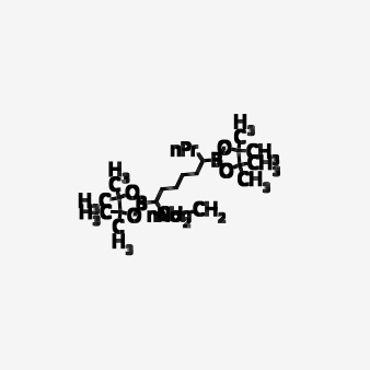 [CH2]C(CCCCC(CCC)B1OC(C)(C)C(C)(C)O1)B1OC(C)(C)C(C)(C)O1.[CH2]CCCCCCCCC